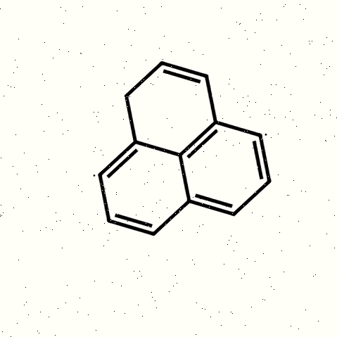 [c]1ccc2cc[c]c3c2c1C=CC3